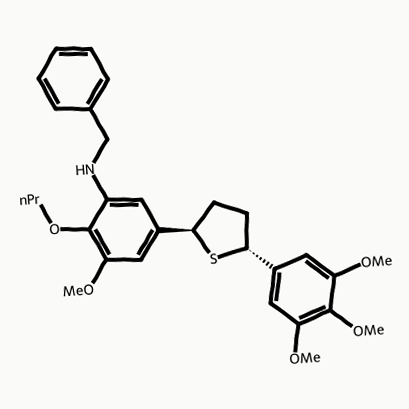 CCCOc1c(NCc2ccccc2)cc([C@H]2CC[C@H](c3cc(OC)c(OC)c(OC)c3)S2)cc1OC